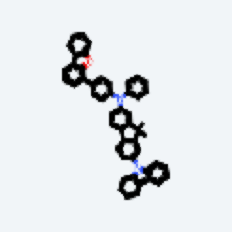 CC1(C)c2cc(N(c3ccccc3)c3ccc(-c4cccc5c4oc4ccccc45)cc3)ccc2-c2ccc(-n3c4ccccc4c4ccccc43)cc21